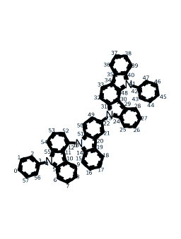 c1ccc(-n2c3ccccc3c3c(-n4c5ccccc5c5cc(-n6c7ccccc7c7c6ccc6c8ccccc8n(-c8ccccc8)c67)ccc54)cccc32)cc1